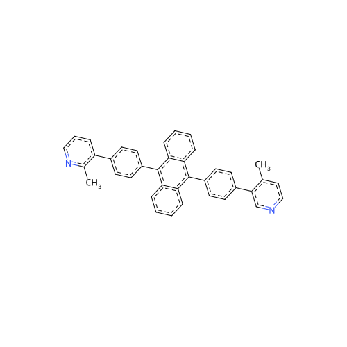 Cc1ccncc1-c1ccc(-c2c3ccccc3c(-c3ccc(-c4cccnc4C)cc3)c3ccccc23)cc1